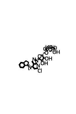 CN(c1cc(Cl)nc2c1cnn2[C@@H]1O[C@H](COP(=O)(O)CP(=O)(O)O)[C@H](O)[C@@H]1O)[C@H]1CCc2ccccc21